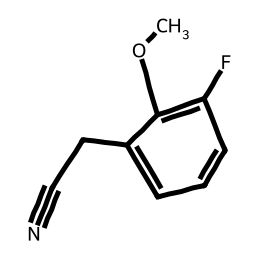 COc1c(F)cccc1CC#N